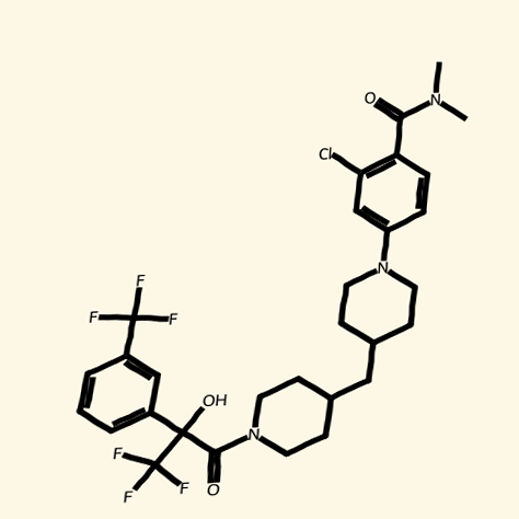 CN(C)C(=O)c1ccc(N2CCC(CC3CCN(C(=O)C(O)(c4cccc(C(F)(F)F)c4)C(F)(F)F)CC3)CC2)cc1Cl